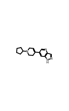 C1=C(c2cnc3cn[nH]c3c2)CCN(C2CCCC2)C1